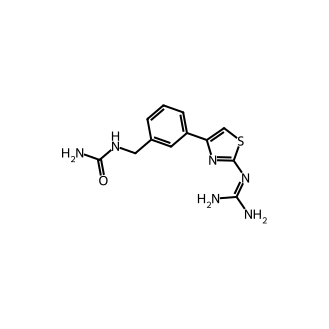 NC(=O)NCc1cccc(-c2csc(N=C(N)N)n2)c1